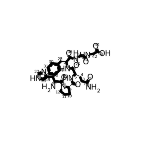 NC(=O)CC[C@H](NC(=O)[C@@H]1CCCN1C(=O)[C@@H](N)Cc1c[nH]cn1)C(=O)N[C@@H](Cc1ccccc1)C(=O)NCC(=O)NCC(=O)O